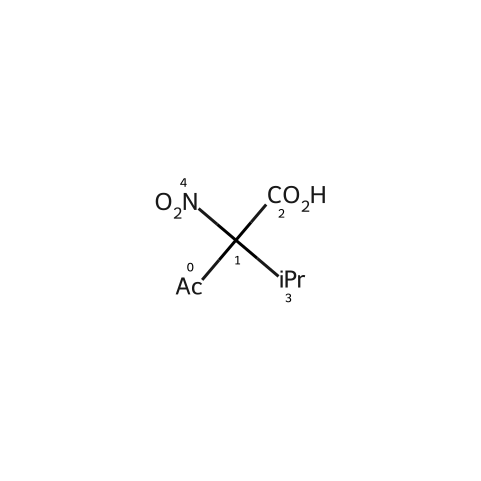 CC(=O)C(C(=O)O)(C(C)C)[N+](=O)[O-]